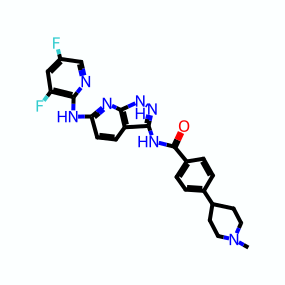 CN1CCC(c2ccc(C(=O)Nc3n[nH]c4nc(Nc5ncc(F)cc5F)ccc34)cc2)CC1